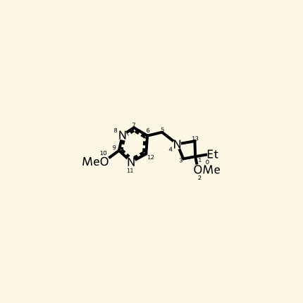 CCC1(OC)CN(Cc2cnc(OC)nc2)C1